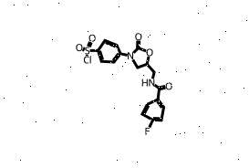 O=C(NCC1CN(c2ccc(S(=O)(=O)Cl)cc2)C(=O)O1)c1ccc(F)cc1